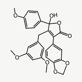 COc1ccc(C2(O)OC(=O)C(c3ccc4c(c3)OCO4)=C2Cc2cc(OC)cc(OC)c2)cc1